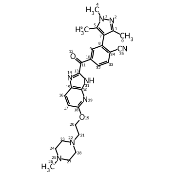 Cc1nn(C)c(C)c1-c1cc(C(=O)c2nc3ccc(OCCN4CCN(C)CC4)nc3[nH]2)ccc1C#N